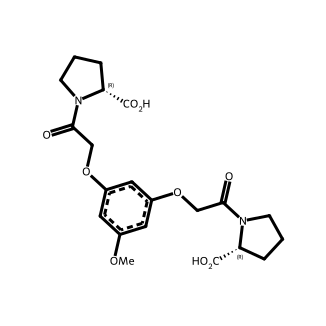 COc1cc(OCC(=O)N2CCC[C@@H]2C(=O)O)cc(OCC(=O)N2CCC[C@@H]2C(=O)O)c1